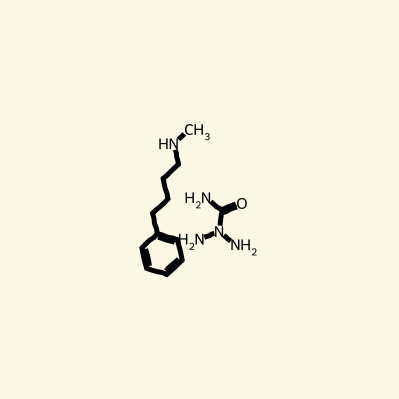 CNCCCCc1ccccc1.NC(=O)N(N)N